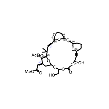 COC(=O)/C=C1\CC2CC(CO)OC(=O)C[C@H](O)C[C@@H]3CCC[C@H](C[C@@H]4CCO[C@H](/C=C/C(C)(C)[C@](O)(O2)[C@H]1OC(C)=O)O4)O3